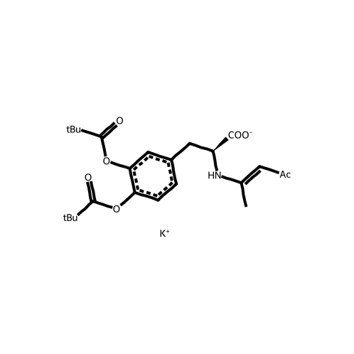 CC(=O)C=C(C)N[C@@H](Cc1ccc(OC(=O)C(C)(C)C)c(OC(=O)C(C)(C)C)c1)C(=O)[O-].[K+]